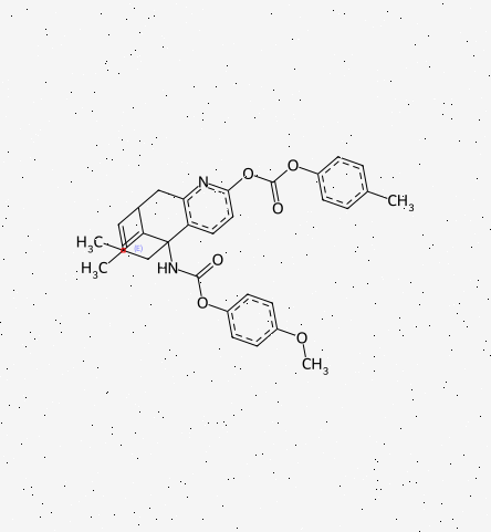 C/C=C1\C2C=C(C)CC1(NC(=O)Oc1ccc(OC)cc1)c1ccc(OC(=O)Oc3ccc(C)cc3)nc1C2